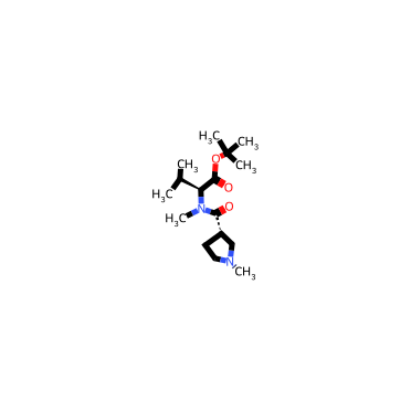 CC(C)[C@@H](C(=O)OC(C)(C)C)N(C)C(=O)[C@H]1CCN(C)C1